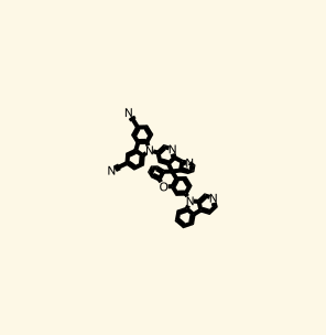 N#Cc1ccc2c(c1)c1cc(C#N)ccc1n2-c1cnc2c(c1)C1(c3ccccc3Oc3cc(-n4c5ccccc5c5ccncc54)ccc31)c1cccnc1-2